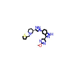 COc1ncc(-c2n[nH]c3ccc(-n4cc([C@@H]5CCCN(Cc6cccs6)C5)nn4)cc23)cn1